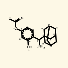 CC(=O)Oc1ccc(C(N)C23CC4CC(CC(C4)C2)C3)c(O)c1